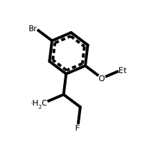 [CH2]C(CF)c1cc(Br)ccc1OCC